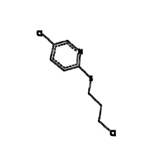 ClCCCSc1ccc(Cl)cn1